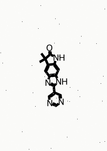 CC1(C)C(=O)Nc2cc3[nH]c(-c4cncnc4)nc3cc21